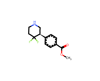 COC(=O)c1ccc([C@@H]2CNCCC2(F)F)cc1